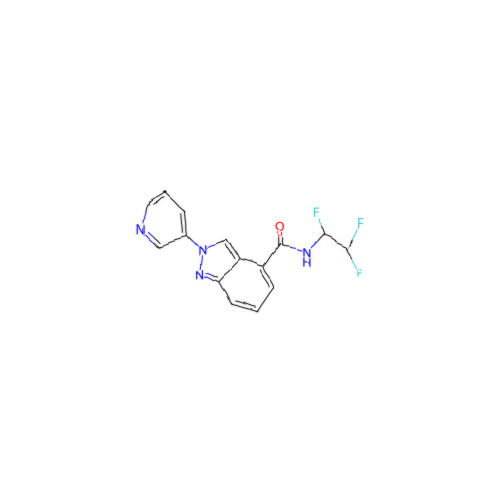 O=C(NC(F)C(F)F)c1cccc2nn(-c3cccnc3)cc12